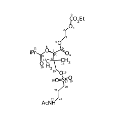 CCOC(=O)OCCOC(=O)[C@H](OC(=O)C(C)C)C(C)(C)COS(=O)(=O)CCCNC(C)=O